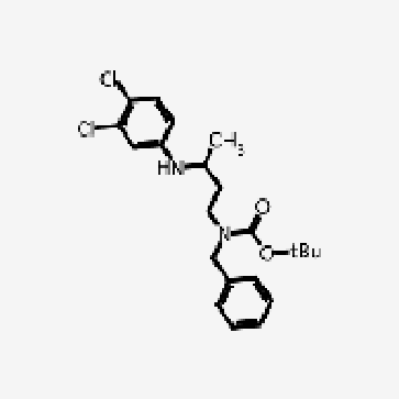 CC(CCN(Cc1ccccc1)C(=O)OC(C)(C)C)Nc1ccc(Cl)c(Cl)c1